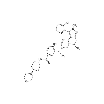 COc1cc(C(=O)N[C@H]2CC[C@H](N3CCOCC3)CC2)ccc1Nc1ncc2c(n1)-c1c(nn(C)c1-c1ccccc1Cl)CC2C